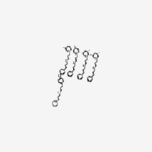 CC1CCCN(CCCOCCCc2ccccc2)C1.CC1CCN(CCCOCCCc2ccccc2)CC1.C[C@@H]1C[C@H](C)CN(CCCOCCCc2ccccc2)C1.C[C@H]1C[C@H](C)CN(CCCOCCCc2ccccc2)C1.Clc1ccc(CCCOCCCN2CCCCC2)cc1